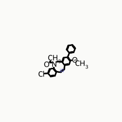 COc1cc2c(cc1-c1ccccc1)CN(C(C)=O)c1cc(Cl)ccc1/C=C\2